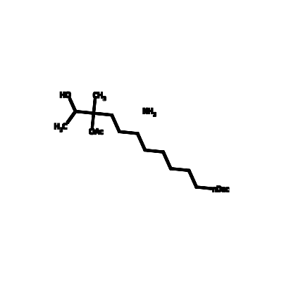 CCCCCCCCCCCCCCCCCCC(C)(OC(C)=O)C(C)O.N